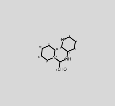 O=CC(NC1CCC[N]C1)N1CCCCC1